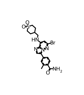 Cc1cc(-c2cnc3c(NCC4CCS(=O)(=O)CC4)cc(Br)nn23)ccc1C(N)=O